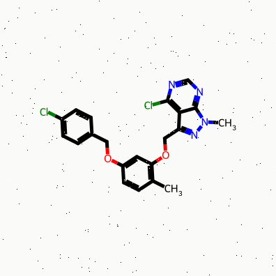 Cc1ccc(OCc2ccc(Cl)cc2)cc1OCc1nn(C)c2ncnc(Cl)c12